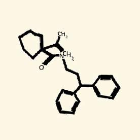 C=C(C)C1(C(=O)NCCC(c2ccccc2)c2ccccc2)CCCCC1